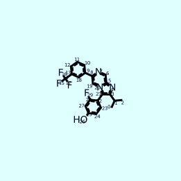 CC(C)c1nc2cnc(-c3cccc(C(F)(F)F)c3)cn2c1-c1ccc(O)cc1F